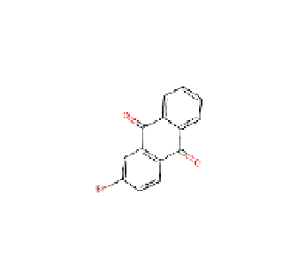 O=C1c2ccccc2C(=O)c2cc(Br)ccc21